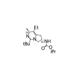 CCC1=C2C[C@H](NC(=O)OC(C)C)CN2C(C(C)(C)C)=N[C@H]1C